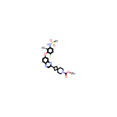 CC(C)S(=O)(=O)Nc1ccc(F)c(Oc2ccc3ncc(C4CC5(CCN(C(=O)OC(C)(C)C)CC5)C4)nc3c2)c1C#N